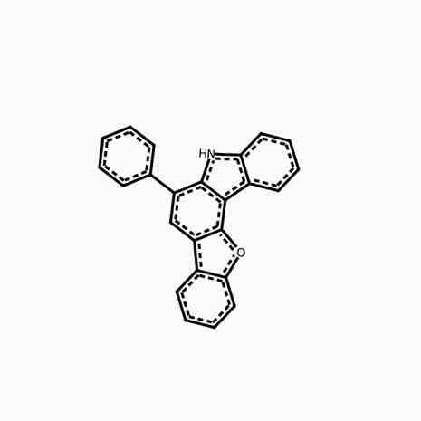 c1ccc(-c2cc3c4ccccc4oc3c3c2[nH]c2ccccc23)cc1